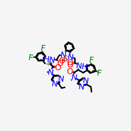 CCc1ncc(N(C)C(=O)C(Cc2cc(F)cc(F)c2)NC(=O)CN2c3ccccc3N(CC(=O)N[C@@H](Cc3cc(F)cc(F)c3)C(=O)N(C)c3cnc(CC)nc3)S2(=O)=O)cn1